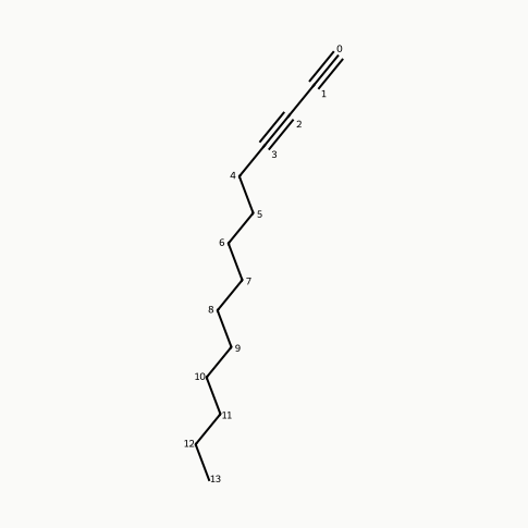 C#CC#CCCCCCCCCCC